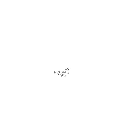 C.N.O.[Cr]